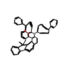 CC1(C)c2ccccc2-c2ccc3ccc(N(c4ccc(-c5ccccc5)cc4)c4ccc(-c5ccccc5)cc4)c(-c4ccccc4)c3c21